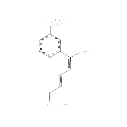 CCCC/C(=C/C=C/CC(=O)O)c1cccc(OC)c1